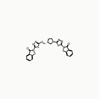 O=c1c2ccccc2sn1-c1nnc(OC[C@@H]2CCN(c3nnc(-n4sc5ccccc5c4=O)s3)C2)s1